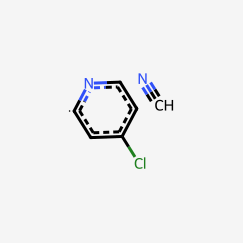 C#N.Clc1c[c]ncc1